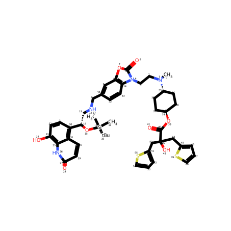 CN(CCn1c(=O)oc2cc(CNC[C@H](O[Si](C)(C)C(C)(C)C)c3ccc(O)c4[nH]c(=O)ccc34)ccc21)[C@H]1CC[C@H](OC(=O)C(O)(Cc2cccs2)Cc2cccs2)CC1